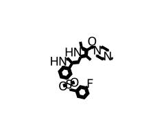 Cc1[nH]c(/C=C2\CNc3ccc(S(=O)(=O)Cc4cccc(F)c4)cc32)c(C)c1C(=O)N1CCN(C)CC1